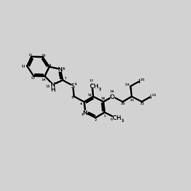 Cc1cnc(CSc2nc3ccccc3[nH]2)c(C)c1OCC(CI)CI